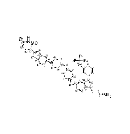 NCCCn1cc(-c2cccc(OC(F)(F)F)c2)c2cc(CN3CCC(CN4CCN(c5ccc6c(c5)CN(C5CCC(=O)NC5=O)C6)CC4)CC3)ccc21